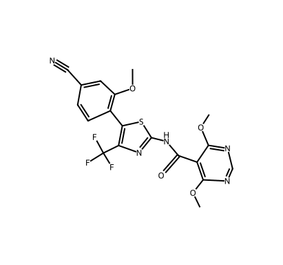 COc1cc(C#N)ccc1-c1sc(NC(=O)c2c(OC)ncnc2OC)nc1C(F)(F)F